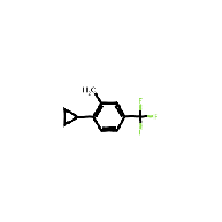 [CH2]c1cc(C(F)(F)F)ccc1C1CC1